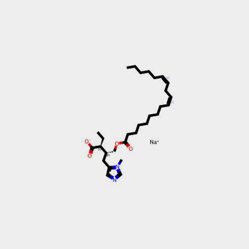 CCCCC/C=C\C/C=C\CCCCCCCC(=O)OC[C@H](Cc1cncn1C)[C@H](CC)C(=O)[O-].[Na+]